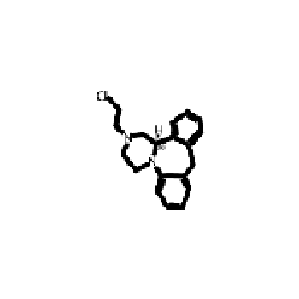 ClCCN1CCN2c3ccccc3Cc3ccccc3[C@@H]2C1